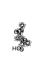 O=C(O)[C@@H]1CCN(C(=O)N2CC[C@@H](Cn3cnc(-c4ccccc4)cc3=O)C3(CCCC3)C2)[C@H](c2ccccc2)C1